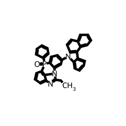 CCc1nc2cccc3c2n1-c1cc(-n2c4ccccc4c4c5ccccc5ccc42)ccc1P3(=O)c1ccccc1